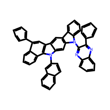 c1ccc(-c2nc3ccccc3nc2-n2c3ccccc3c3cc4c5cc(-c6ccccc6)c6ccccc6c5n(-c5ccc6ccccc6c5)c4cc32)cc1